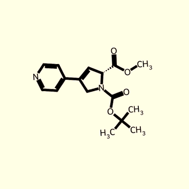 COC(=O)[C@H]1C=C(c2ccncc2)CN1C(=O)OC(C)(C)C